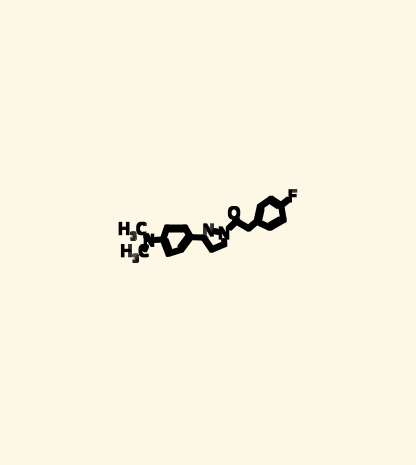 CN(C)c1ccc(C2=NN(C(=O)Cc3ccc(F)cc3)CC2)cc1